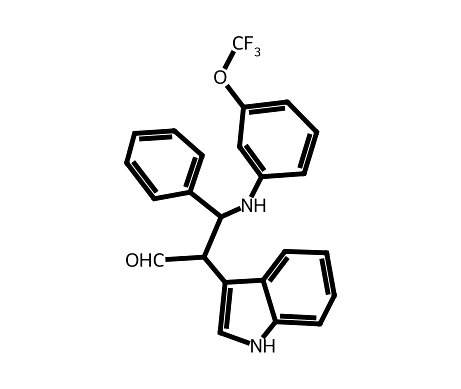 O=CC(c1c[nH]c2ccccc12)C(Nc1cccc(OC(F)(F)F)c1)c1ccccc1